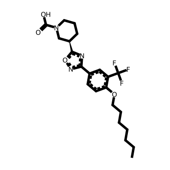 CCCCCCCOc1ccc(-c2noc([C@@H]3CCCN(C(=O)O)C3)n2)cc1C(F)(F)F